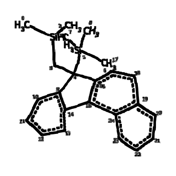 C[SiH](C)CC1([Si](C)(C)C)c2ccccc2-c2c1ccc1ccccc21